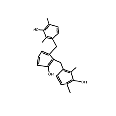 Cc1ccc(Cc2cccc(O)c2Cc2ccc(C)c(O)c2C)c(C)c1O